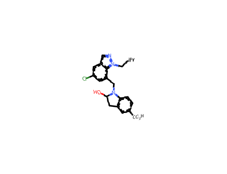 CC(C)Cn1ncc2cc(Cl)cc(CN3c4ccc(C(=O)O)cc4CC3O)c21